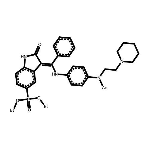 CCOP(=O)(OCC)c1ccc2c(c1)C(=C(Nc1ccc(N(CCN3CCCCC3)C(C)=O)cc1)c1ccccc1)C(=O)N2